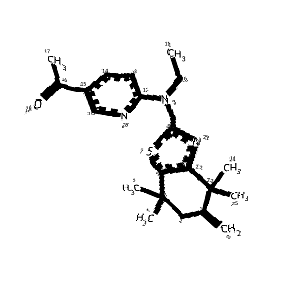 C=C1CC(C)(C)c2sc(N(CC)c3ccc(C(C)=O)cn3)nc2C1(C)C